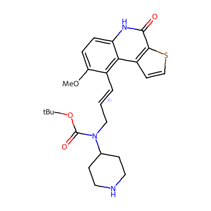 COc1ccc2[nH]c(=O)c3sccc3c2c1/C=C/CN(C(=O)OC(C)(C)C)C1CCNCC1